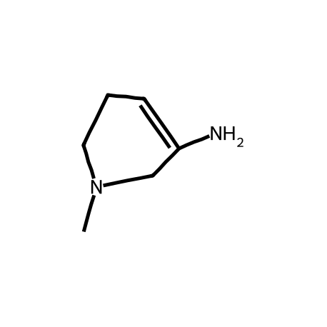 CN1CCC=C(N)C1